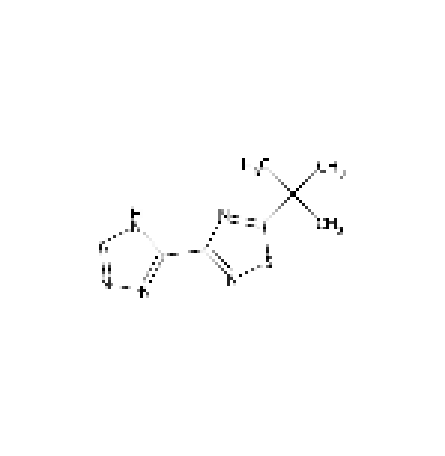 CC(C)(C)c1nc(-c2nnc[nH]2)ns1